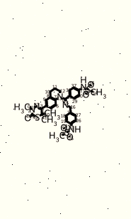 CN1N=C(c2ccc3c(c2)CCCN3C(=NCc2ccc(NS(C)(=O)=O)cc2)c2ccc(NS(C)(=O)=O)cc2)C(C)(C)SC1=O